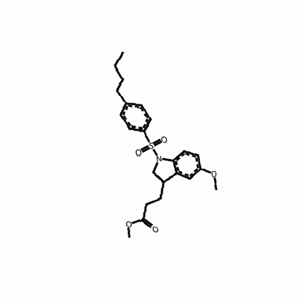 CCCCc1ccc(S(=O)(=O)N2CC(CCC(=O)OC)c3cc(OC)ccc32)cc1